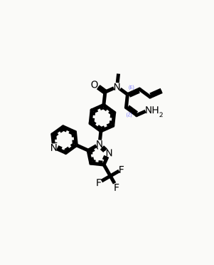 C=C/C=C(\C=C/N)N(C)C(=O)c1ccc(-n2nc(C(F)(F)F)cc2-c2cccnc2)cc1